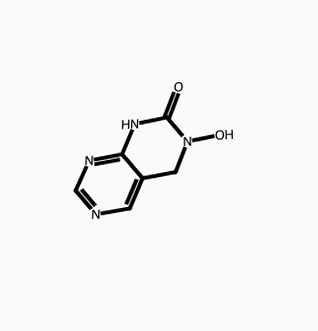 O=C1Nc2ncncc2CN1O